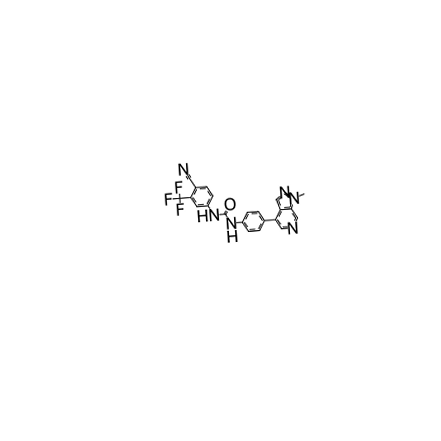 Cn1ncc2c(-c3ccc(NC(=O)Nc4ccc(C#N)c(C(F)(F)F)c4)cc3)cncc21